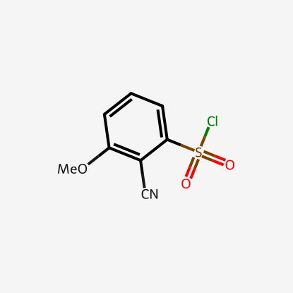 COc1cccc(S(=O)(=O)Cl)c1C#N